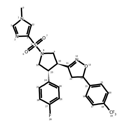 Cn1cnc(S(=O)(=O)N2C[C@@H](C3=NOC(c4ccc(C(F)(F)F)cc4)C3)[C@H](c3ccc(F)cc3)C2)c1